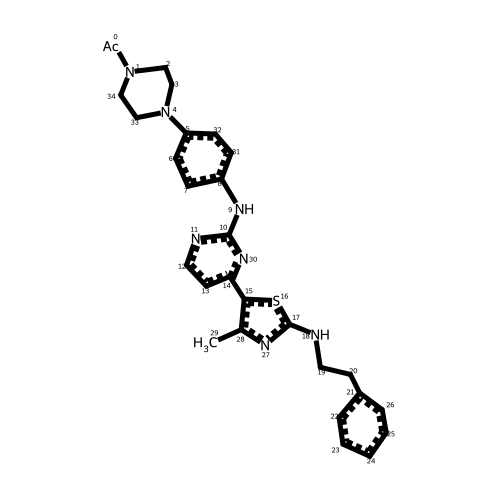 CC(=O)N1CCN(c2ccc(Nc3nccc(-c4sc(NCCc5ccccc5)nc4C)n3)cc2)CC1